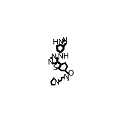 CN(CCN1CCCC1)C(=O)C1CCc2c(sc3ncnc(Nc4ccc5[nH]ncc5c4)c23)C1